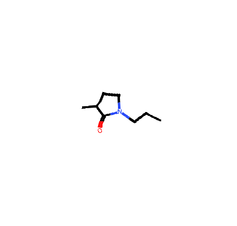 CCCN1CCC(C)C1=O